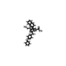 N#CCNC(=O)C(CNC(=O)C#N)(NC(=O)Nc1ccc(Oc2ccccc2)cc1)c1ccc2ccccc2c1